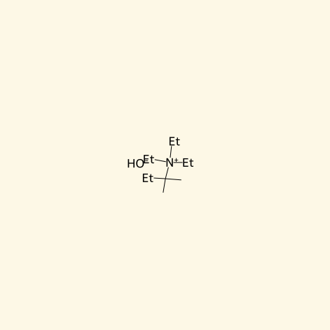 CCC(C)(C)[N+](CC)(CC)CC.[OH-]